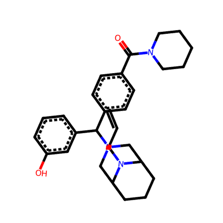 C=CCN1C2CCCC1CN(C(c1ccc(C(=O)N3CCCCC3)cc1)c1cccc(O)c1)C2